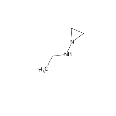 CCNN1CC1